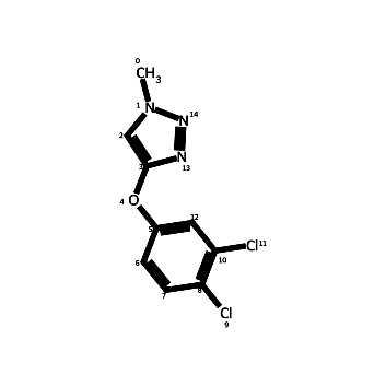 Cn1cc(Oc2ccc(Cl)c(Cl)c2)nn1